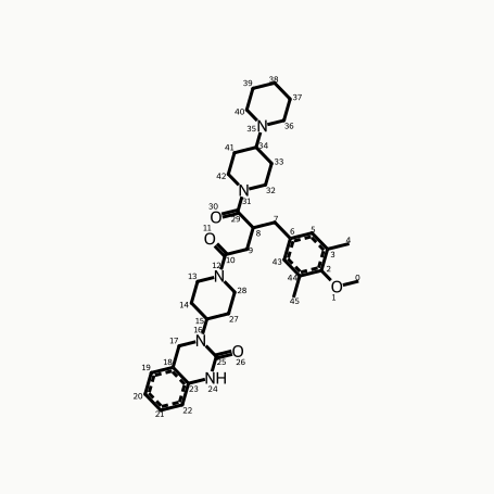 COc1c(C)cc(CC(CC(=O)N2CCC(N3Cc4ccccc4NC3=O)CC2)C(=O)N2CCC(N3CCCCC3)CC2)cc1C